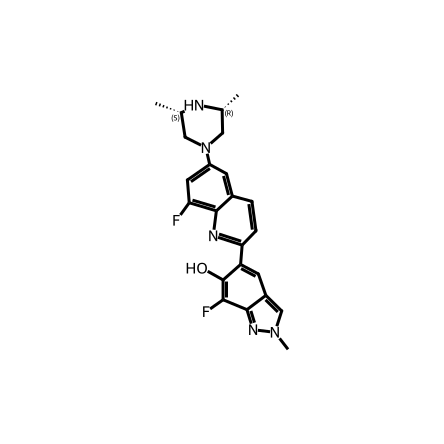 C[C@@H]1CN(c2cc(F)c3nc(-c4cc5cn(C)nc5c(F)c4O)ccc3c2)C[C@H](C)N1